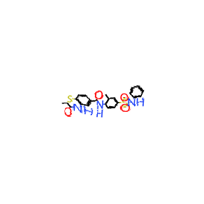 Cc1cc(S(=O)(=O)Nc2ccccc2)ccc1NC(=O)c1ccc2c(c1)NC(=O)C(C)S2